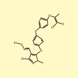 CCO/N=C/c1c(CC)nn(C)c1Oc1ccc(Oc2ccc(OC(C)=C(Cl)Cl)cc2)cc1